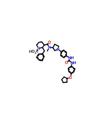 CN(C(=O)C1CCCN(C(=O)O)C1Cc1ccccc1)C1CCN(c2ccc(NC(=O)Nc3ccc(OC4CCCC4)cc3)cc2)C1